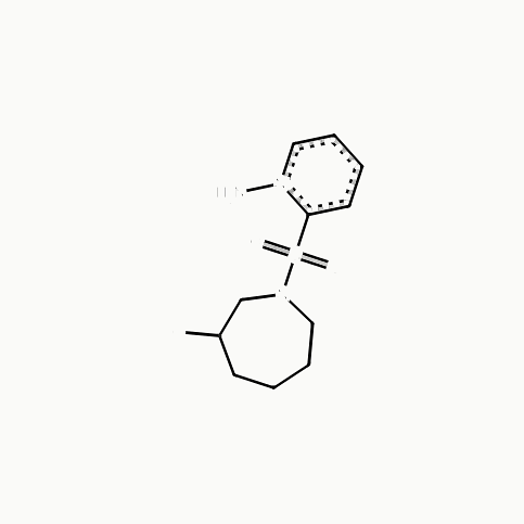 N[n+]1ccccc1S(=O)(=O)N1CCC[CH]C(O)C1